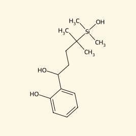 CC(C)(CCC(O)c1ccccc1O)[Si](C)(C)O